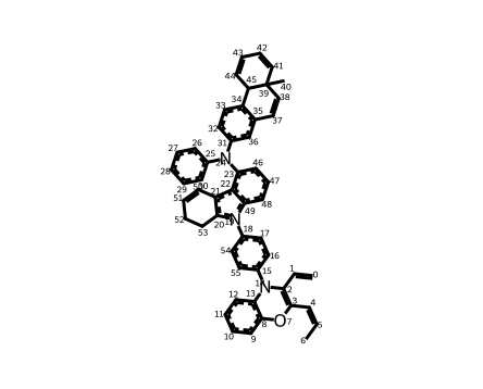 C=CC1=C(/C=C\C)Oc2ccccc2N1c1ccc(-n2c3c(c4c(N(c5ccccc5)c5ccc6c(c5)C=CC5(C)C=CC=CC65)cccc42)C=CCC3)cc1